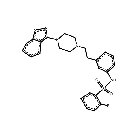 O=S(=O)(Nc1cccc(CCN2CCN(c3nsc4ccccc34)CC2)c1)c1ccccc1F